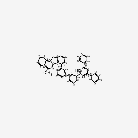 Cc1cc2c(c3ccccc13)Cc1cccc(-c3cccc(-c4cccc(C5C=C(c6ccccc6)N=C(c6ccccc6)N5)c4)c3)c1-2